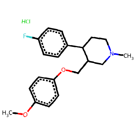 COc1ccc(OCC2CN(C)CCC2c2ccc(F)cc2)cc1.Cl